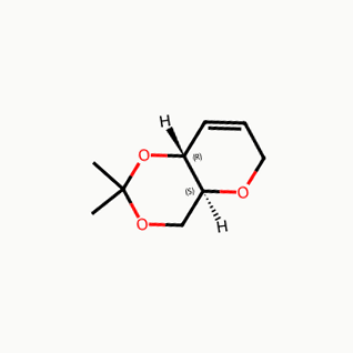 CC1(C)OC[C@@H]2OCC=C[C@H]2O1